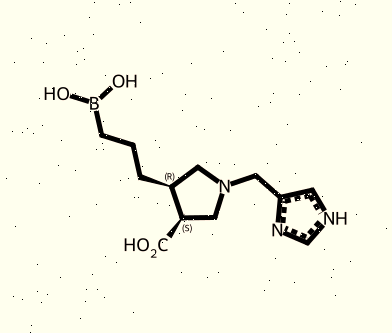 O=C(O)[C@@H]1CN(Cc2c[nH]cn2)C[C@@H]1CCCB(O)O